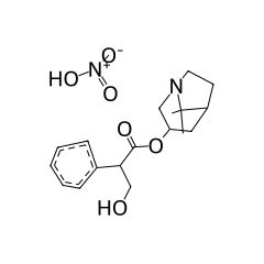 CC1(C)C2CCN1CC(OC(=O)C(CO)c1ccccc1)C2.O=[N+]([O-])O